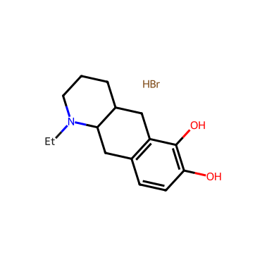 Br.CCN1CCCC2Cc3c(ccc(O)c3O)CC21